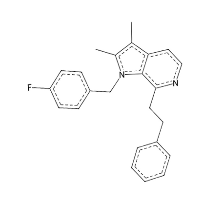 Cc1c(C)n(Cc2ccc(F)cc2)c2c(CCc3ccccc3)nccc12